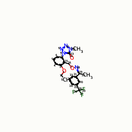 CCOc1cccc(-n2nnn(C)c2=O)c1CON=C(C)c1cccc(C(F)(F)F)c1